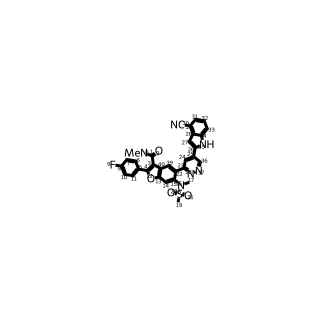 CNC(=O)c1c(-c2ccc(F)cc2)oc2cc(N(C)S(C)(=O)=O)c(-c3cc(-c4cc5c(C#N)cccc5[nH]4)cnn3)cc12